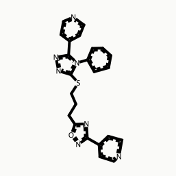 c1ccc(-n2c(SCCCc3nc(-c4ccncc4)no3)nnc2-c2ccncc2)cc1